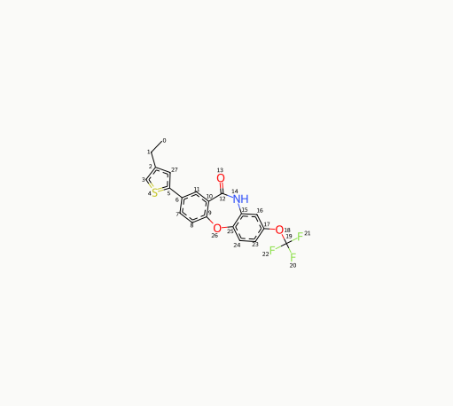 CCc1csc(-c2ccc3c(c2)C(=O)Nc2cc(OC(F)(F)F)ccc2O3)c1